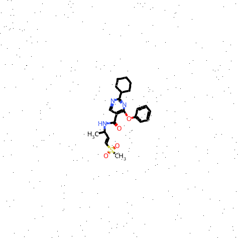 CC(C=CS(C)(=O)=O)NC(=O)c1cnc(C2CCCCC2)nc1Oc1ccccc1